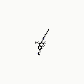 C/C=C\Oc1ccc2c(O)c(O/C=C/CCCCCC)c(=O)oc2c1